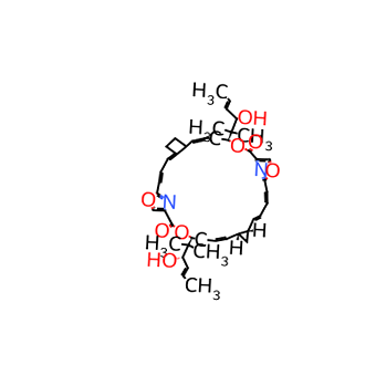 C/C=C/[C@H](O)C(C)(C)[C@@H]1C/C=C\C2CC/C2=C\C=C/c2nc(co2)C(=O)O[C@H](C(C)(C)[C@@H](O)/C=C/C)C/C=C\[C@H]2C[C@H]2/C=C/C=C\c2nc(co2)C(=O)O1